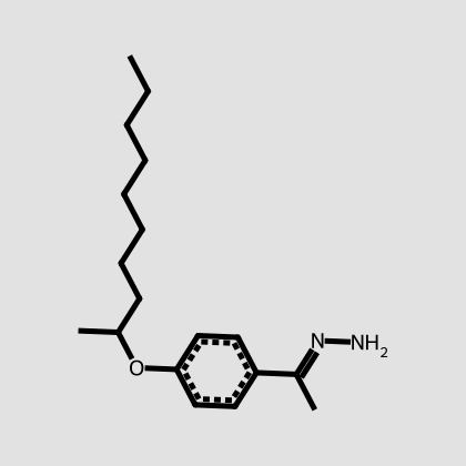 CCCCCCCCC(C)Oc1ccc(C(C)=NN)cc1